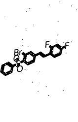 O=S(=O)(c1ccccc1)c1ccc(C=Cc2ccc(F)cc2F)cc1Br